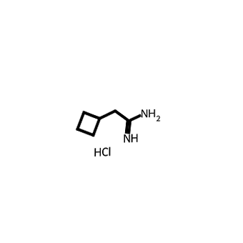 Cl.N=C(N)CC1CCC1